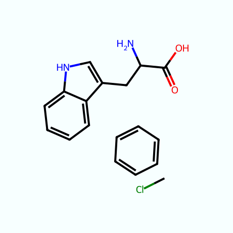 CCl.NC(Cc1c[nH]c2ccccc12)C(=O)O.c1ccccc1